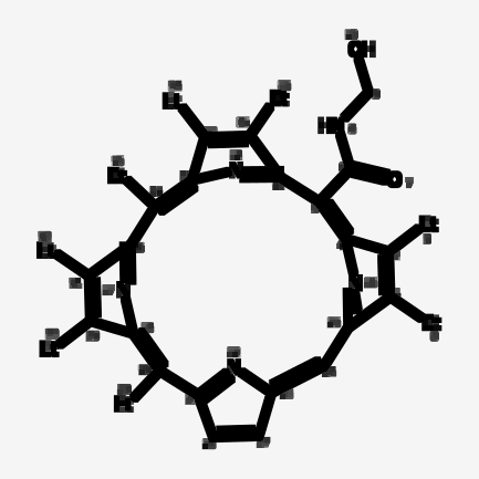 CCC1=C(CC)C2=C(C(=O)NCO)C3=NC(=C(CC)C4=NC(=C(CC)C5=NC(=CC1=N2)C=C5)C(CC)=C4CC)C(CC)=C3CC